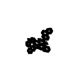 c1ccc(-c2nc(-c3ccc4c(ccc5ccccc54)c3)nc(-c3ccc4sc5ccccc5c4c3-n3c4ccccc4c4cc5ccccc5cc43)n2)cc1